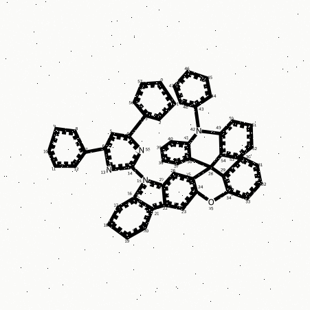 c1ccc(-c2cc(-c3ccccc3)nc(-n3c4ccccc4c4cc5c(cc43)C3(c4ccccc4O5)c4ccccc4N(c4ccccc4)c4ccccc43)n2)cc1